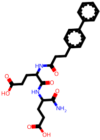 NC(=O)C(CCC(=O)O)NC(=O)C(CCC(=O)O)NC(=O)CCc1ccc(-c2ccccc2)cc1